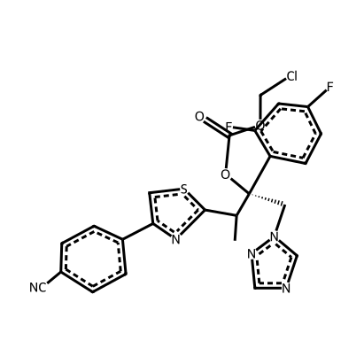 CC(c1nc(-c2ccc(C#N)cc2)cs1)[C@@](Cn1cncn1)(OC(=O)OCCl)c1ccc(F)cc1F